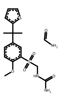 COc1ccc(C(C)(C)c2cccs2)cc1S(=O)(=O)CNC(N)=O.NC=O